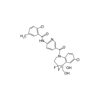 Cc1ccc(Cl)c(C(=O)Nc2ccc(C(=O)N3CCC(F)(F)[C@](O)(CO)c4cc(Cl)ccc43)cn2)c1